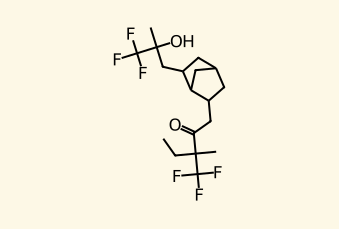 CCC(C)(C(=O)CC1CC2CC(CC(C)(O)C(F)(F)F)C1C2)C(F)(F)F